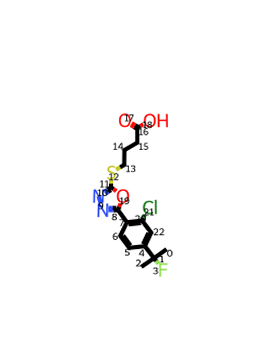 CC(C)(F)c1ccc(-c2nnc(SCCCC(=O)O)o2)c(Cl)c1